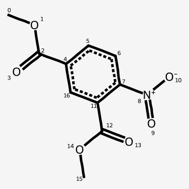 COC(=O)c1ccc([N+](=O)[O-])c(C(=O)OC)c1